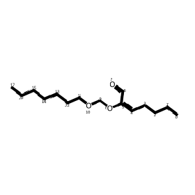 CCCC/C=C(\C=O)OCOCCCCCCC